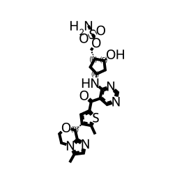 Cc1sc(C(=O)c2cncnc2N[C@@H]2C[C@H](COS(N)(=O)=O)[C@@H](O)C2)cc1[C@H]1OCCn2c(C)cnc21